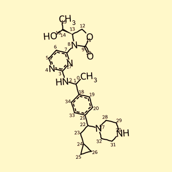 CC(Nc1nccc(N2C(=O)OC[C@@H]2C(C)O)n1)c1ccc(C(CC2CC2)N2CCNCC2)cc1